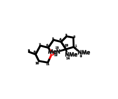 CNC1CCC(CC2CC(C)CCO2)C1(NC)NC